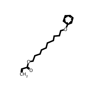 C=CC(=O)OCCCCCCCCCCOc1ccccc1